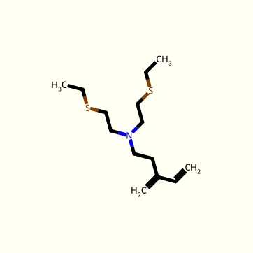 C=CC(=C)CCN(CCSCC)CCSCC